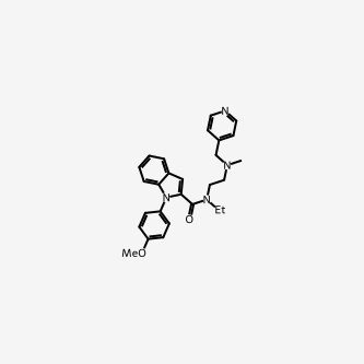 CCN(CCN(C)Cc1ccncc1)C(=O)c1cc2ccccc2n1-c1ccc(OC)cc1